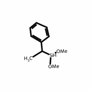 CO[SiH](OC)C(C)c1ccccc1